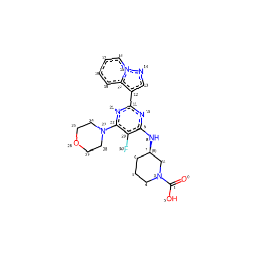 O=C(O)N1CCC[C@@H](Nc2nc(-c3cnn4ccccc34)nc(N3CCOCC3)c2F)C1